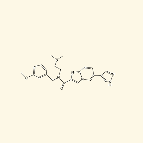 COc1cccc(CN(CCN(C)C)C(=O)c2cn3cc(-c4cn[nH]c4)ccc3n2)c1